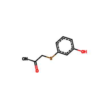 O=NC(=O)CSc1cccc(O)c1